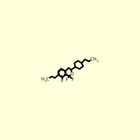 CCCc1ccc2c(c1F)C(F)(F)OC(C1CCC(CCC)CC1)C2